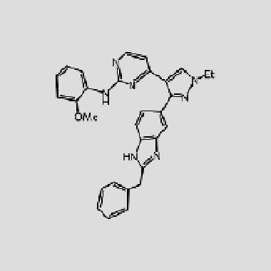 CCn1cc(-c2ccnc(Nc3ccccc3OC)n2)c(-c2ccc3[nH]c(Cc4ccccc4)nc3c2)n1